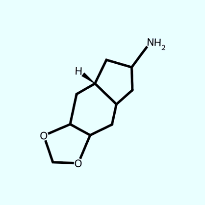 NC1CC2CC3OCOC3C[C@@H]2C1